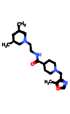 Cc1ocnc1CN1CCC(C(=O)NCCN2C[C@H](C)C[C@H](C)C2)CC1